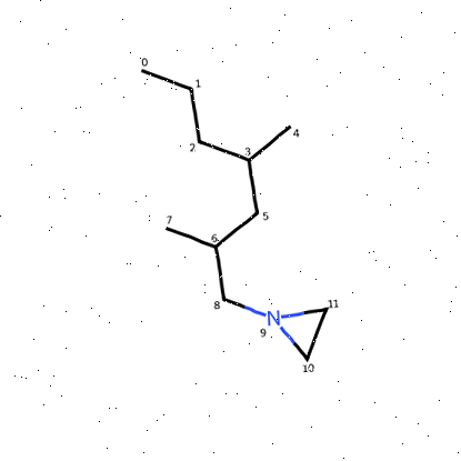 CCCC(C)CC(C)CN1CC1